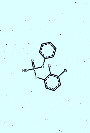 CCc1cccc(OP(=O)(S)Oc2ccccc2)c1CC